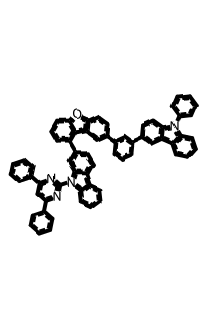 c1ccc(-c2cc(-c3ccccc3)nc(-n3c4ccccc4c4ccc(-c5cccc6oc7ccc(-c8cccc(-c9ccc%10c(c9)c9ccccc9n%10-c9ccccc9)c8)cc7c56)cc43)n2)cc1